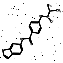 CC(C)[S+]([O-])Nc1ccc(C(=O)Nc2ccc3ccsc3c2)cc1